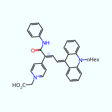 CCCCCCN1c2ccccc2C(=C/C=C(/C(=O)Nc2ccccc2)c2cc[n+](CC(=O)O)cc2)c2ccccc21